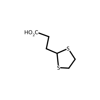 O=C(O)CCC1SCCS1